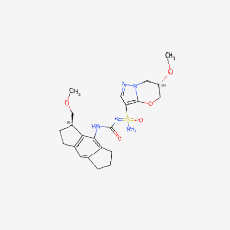 COC[C@@H]1CCc2cc3c(c(NC(=O)N=S(N)(=O)c4cnn5c4OC[C@@H](OC)C5)c21)CCC3